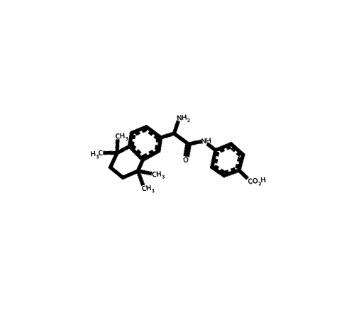 CC1(C)CCC(C)(C)c2cc(C(N)C(=O)Nc3ccc(C(=O)O)cc3)ccc21